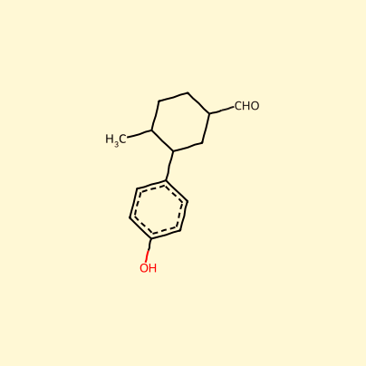 CC1CCC(C=O)CC1c1ccc(O)cc1